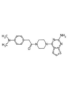 CN(C)c1ccc(CC(=O)N2CCN(c3nc(N)nc4sccc34)CC2)cc1